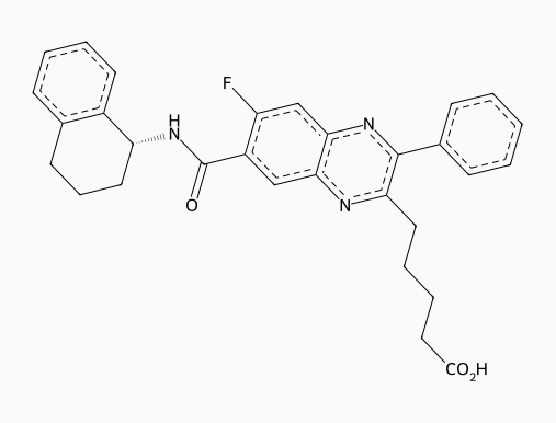 O=C(O)CCCCc1nc2cc(C(=O)N[C@@H]3CCCc4ccccc43)c(F)cc2nc1-c1ccccc1